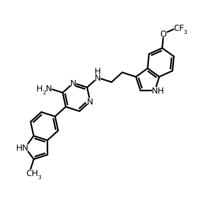 Cc1cc2cc(-c3cnc(NCCc4c[nH]c5ccc(OC(F)(F)F)cc45)nc3N)ccc2[nH]1